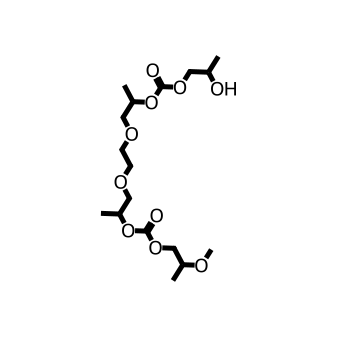 COC(C)COC(=O)OC(C)COCCOCC(C)OC(=O)OCC(C)O